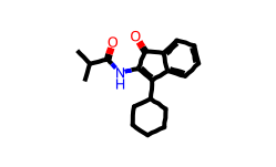 CC(C)C(=O)NC1=C(C2CCCCC2)c2ccccc2C1=O